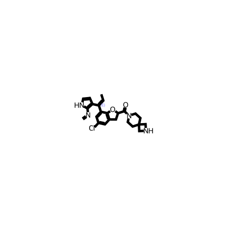 C=Nc1[nH]ccc1/C(=C\C)c1cc(Cl)cc2c1OC(C(=O)N1CCC3(CC1)CNC3)C2